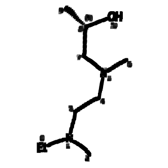 CCN(C)CCN(C)C[C@H](C)O